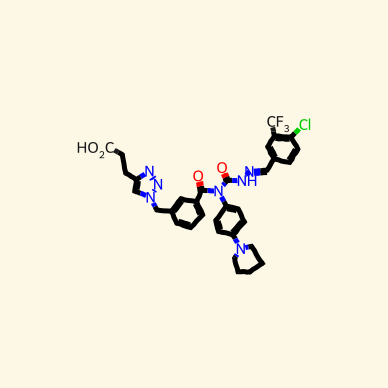 O=C(O)CCc1cn(Cc2cccc(C(=O)N(C(=O)NN=Cc3ccc(Cl)c(C(F)(F)F)c3)c3ccc(N4CCCCC4)cc3)c2)nn1